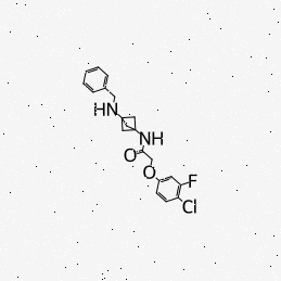 O=C(COc1ccc(Cl)c(F)c1)NC12CC(NCc3ccccc3)(C1)C2